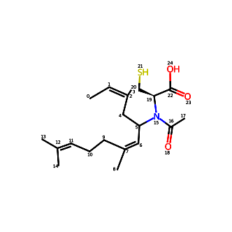 CC=C(C)CC(C=C(C)CCC=C(C)C)N(C(C)=O)[C@@H](CS)C(=O)O